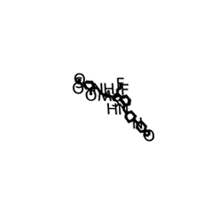 COc1cc(S(C)(=O)=O)ccc1NCC#Cc1sc2c(NC3CCC(N4CCC5(CC4)COC5)CC3)cccc2c1CC(F)F